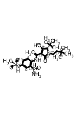 C=C(Nc1ccc(NS(C)(=O)=O)cc1[PH](N)=O)C1=C(O)[C@H](C(C)(C)C)N(CCC(C)(C)C)C1=O